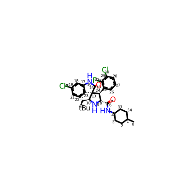 CC1CCC(NC(=O)[C@@H]2N[C@@H](CC(C)(C)C)[C@@]3(C(=O)Nc4cc(Cl)ccc43)[C@H]2c2cccc(Cl)c2F)CC1